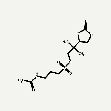 CC(=O)NCCCS(=O)(=O)OCC(C)(C)[C@@H]1COC(=O)O1